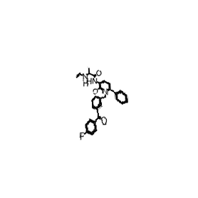 CCNC(C)C(=O)Nc1ccc(-c2ccccc2)n(Cc2cccc(C(=O)c3ccc(F)cc3)c2)c1=O